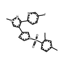 Cc1ccc(S(=O)(=O)n2ccc(-c3cn(C)nc3-c3ccc(F)cn3)c2)c(C)c1